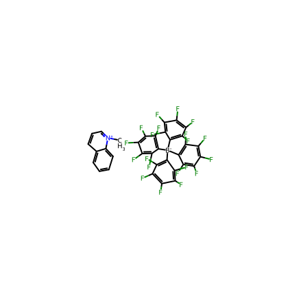 C[n+]1cccc2ccccc21.Fc1c(F)c(F)c([B-](c2c(F)c(F)c(F)c(F)c2F)(c2c(F)c(F)c(F)c(F)c2F)c2c(F)c(F)c(F)c(F)c2F)c(F)c1F